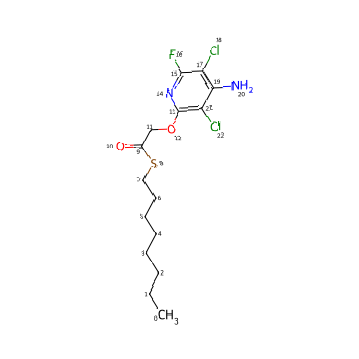 CCCCCCCCSC(=O)COc1nc(F)c(Cl)c(N)c1Cl